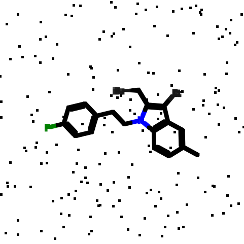 CCc1c(C[C@H](C)CC)n(CCc2ccc(F)cc2)c2ccc(C)cc12